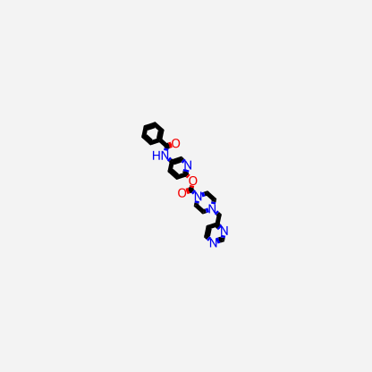 O=C(Nc1ccc(OC(=O)N2CCN(Cc3ccncn3)CC2)nc1)c1ccccc1